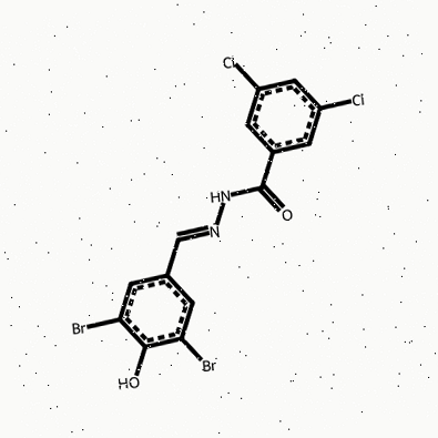 O=C(N/N=C/c1cc(Br)c(O)c(Br)c1)c1cc(Cl)cc(Cl)c1